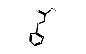 CC(=O)CSc1ccccc1